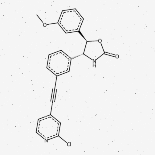 COc1cccc([C@H]2OC(=O)N[C@@H]2c2cccc(C#Cc3ccnc(Cl)c3)c2)c1